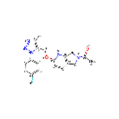 Cc1nnn(-c2ccc(F)cc2)c1COc1ccc2c(n1)CN(C(=O)C(C)(C)C)C2